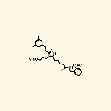 COCCCn1c(CCCCC(=O)NCC2=CCCC=C2OC)nnc1SCC1CC(C)=CC(C)C1